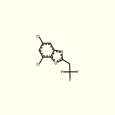 FC(F)(F)Cc1nc2cc(Cl)cc(Cl)c2o1